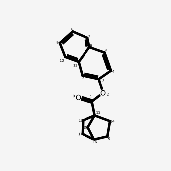 O=C(Oc1ccc2ccccc2c1)C12CCC(CC1)C2